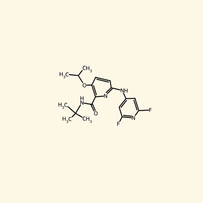 CC(C)Oc1ccc(Nc2cc(F)nc(F)c2)nc1C(=O)NC(C)(C)C